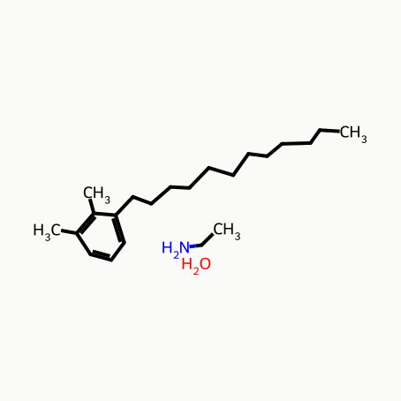 CCCCCCCCCCCCc1cccc(C)c1C.CCN.O